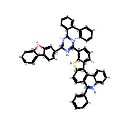 c1ccc(-c2ccccc2-c2nc(-c3ccc4c(c3)oc3ccccc34)nc(-c3cccc4c3sc3ccc5c(-c6ccccc6)nc6ccccc6c5c34)n2)cc1